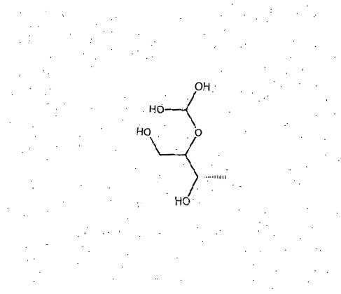 C[C@H](O)C(CO)OC(O)O